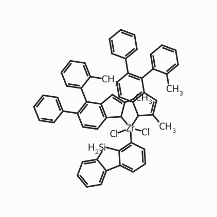 CC1=Cc2c(ccc(-c3ccccc3)c2-c2ccccc2C)[CH]1[Zr]([Cl])([Cl])([c]1cccc2c1[SiH2]c1ccccc1-2)[CH]1C(C)=Cc2c1ccc(-c1ccccc1)c2-c1ccccc1C